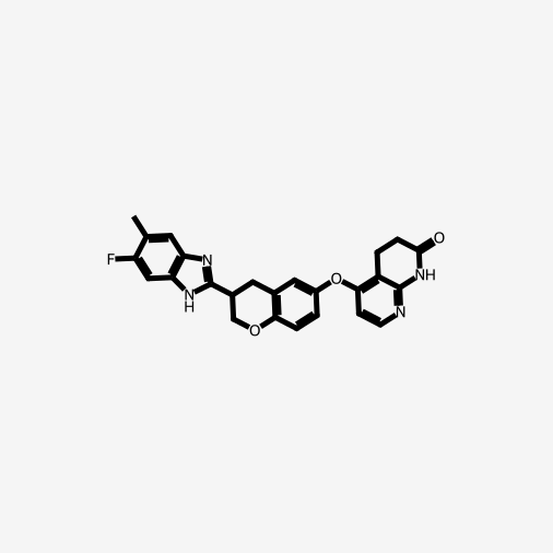 Cc1cc2nc(C3COc4ccc(Oc5ccnc6c5CCC(=O)N6)cc4C3)[nH]c2cc1F